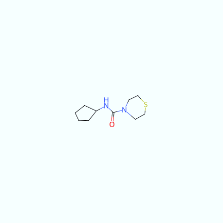 O=C(NC1CCCC1)N1CCSCC1